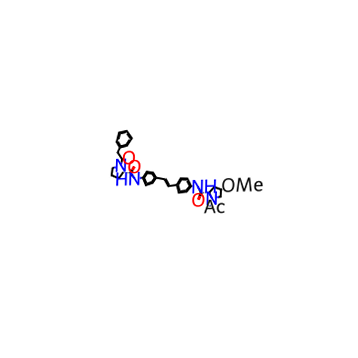 CO[C@@H]1C[C@@H](C(=O)Nc2ccc(/C=C/c3ccc(NC(=O)[C@@H]4CCCN4C(=O)Cc4ccccc4)cc3)cc2)N(C(C)=O)C1